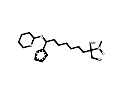 CSC(CO)(CCCCCCC(OC1CCCCO1)c1ccco1)[S+](C)[O-]